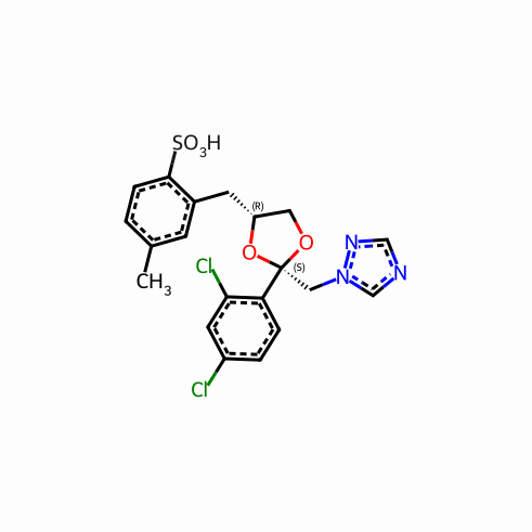 Cc1ccc(S(=O)(=O)O)c(C[C@@H]2CO[C@@](Cn3cncn3)(c3ccc(Cl)cc3Cl)O2)c1